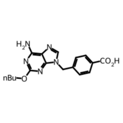 CCCCOc1nc(N)c2ncn(Cc3ccc(C(=O)O)cc3)c2n1